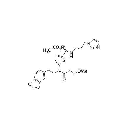 CC(=O)O.COCCC(=O)N(CCc1ccc2c(c1)OCO2)c1ncc(C(=O)NCCCn2ccnc2)s1